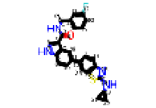 C[C@H](NC(=O)c1c[nH]c2ccc(-c3ccc4nc(NC5CC5)sc4c3)cc12)c1cccc(F)c1